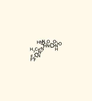 C[C@@H]1CN(Cc2c[nH]nc2C(=O)Nc2ccc3c(c2)OCC(=O)N3)CCN1c1ccc(C(F)(F)F)cn1